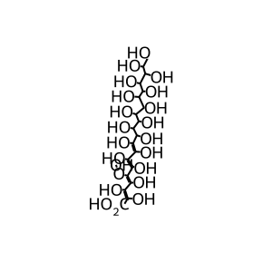 O=C(O)/C(O)=C(O)/C(O)=C(OO)/C(O)=C(O)/C(O)=C(\O)C(O)C(O)C(O)C(O)C(O)C(O)C(O)C(O)C(O)C(O)CO